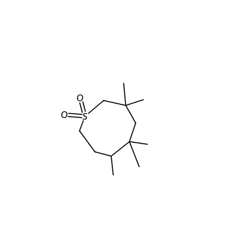 CC1CCS(=O)(=O)CC(C)(C)CC1(C)C